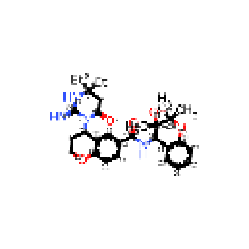 CCC1(CC)CC(=O)N([C@@H]2CCOc3ccc(C(=O)NC4c5ccccc5OC(C)(C)C4(C)O)cc32)C(=N)N1